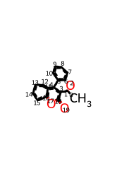 CC(=O)c1c(-c2ccccc2)c2ccccc2oc1=O